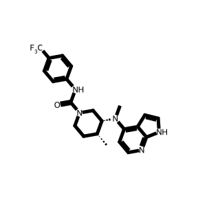 C[C@@H]1CCN(C(=O)Nc2ccc(C(F)(F)F)cc2)C[C@@H]1N(C)c1ccnc2[nH]ccc12